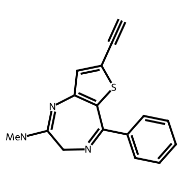 C#Cc1cc2c(s1)C(c1ccccc1)=NCC(NC)=N2